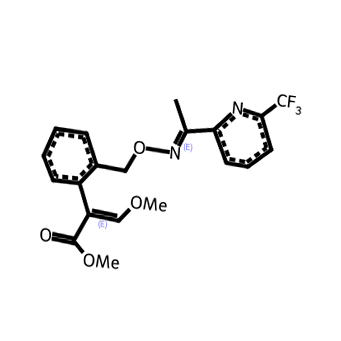 CO/C=C(/C(=O)OC)c1ccccc1CO/N=C(\C)c1cccc(C(F)(F)F)n1